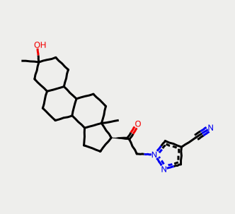 CC1(O)CCC2C(CCC3C2CCC2(C)C3CC[C@@H]2C(=O)Cn2cc(C#N)cn2)C1